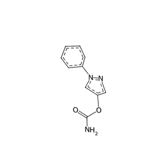 NC(=O)Oc1cnn(-c2ccccc2)c1